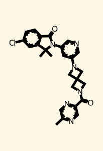 Cc1cnc(C(=O)N2CC3(C2)CN(c2cncc(N4C(=O)c5ccc(Cl)cc5C4(C)C)c2)C3)cn1